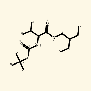 CCC(CC)COC(=O)C(NC(=O)OC(C)(C)C)C(C)C